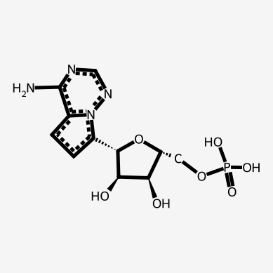 Nc1ncnn2c([C@@H]3O[C@H](COP(=O)(O)O)[C@@H](O)[C@H]3O)ccc12